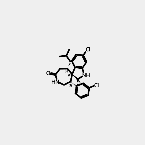 CC(C)C[C@H]1CC(=O)NC[C@@H](c2cccc(Cl)c2)[C@]12C(=O)Nc1cc(Cl)ccc12